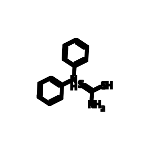 NC(=S)S.c1ccc(Nc2ccccc2)cc1